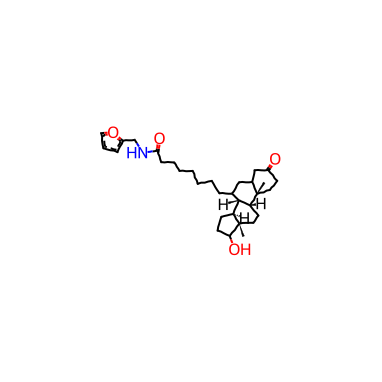 C[C@]12CCC(=O)CC1CC(CCCCCCCC(=O)NCc1ccco1)[C@@H]1[C@H]2CC[C@]2(C)C(O)CC[C@@H]12